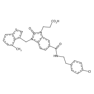 Cc1cccc2scc(Cn3c(=O)n(CCC(=O)O)c4cc(C(=O)NCCc5ccc(Cl)cc5)ccc43)c12